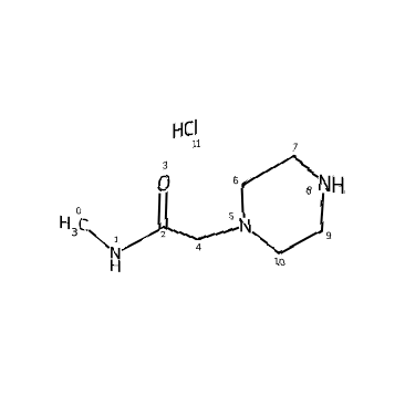 CNC(=O)CN1CCNCC1.Cl